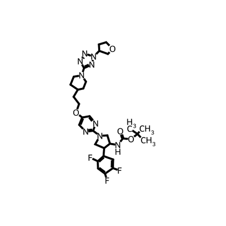 CC(C)(C)OC(=O)NC1CN(c2ncc(OCCC3CCN(c4nnn(C5CCOC5)n4)CC3)cn2)CC1c1cc(F)c(F)cc1F